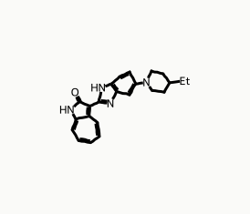 CCC1CCN(c2ccc3[nH]c(-c4c5cccccc-5[nH]c4=O)nc3c2)CC1